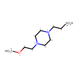 O=C(O)OCCN1CCN(CCS(=O)(=O)O)CC1